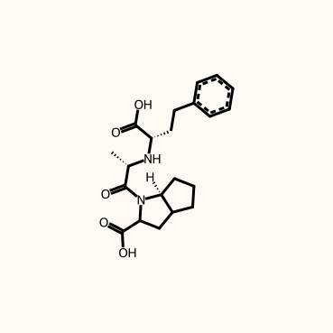 C[C@H](N[C@@H](CCc1ccccc1)C(=O)O)C(=O)N1C(C(=O)O)CC2CCC[C@@H]21